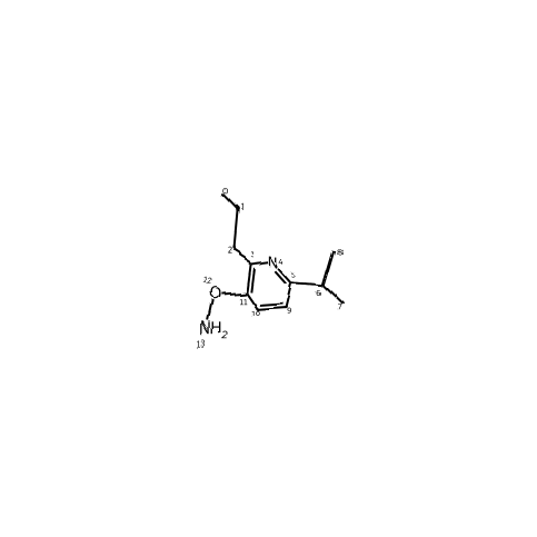 CCCc1nc(C(C)C)ccc1ON